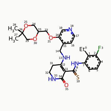 CCc1c(F)cccc1NC(=S)C1=C(NCc2ccncc2OCC2COC(C)(C)CO2)CCNC1=O